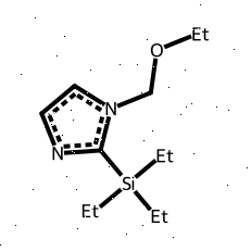 CCOCn1ccnc1[Si](CC)(CC)CC